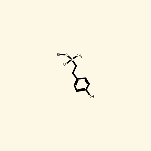 CCO[Si](C)(C)CCc1ccc(O)cc1